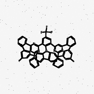 Cc1cc(C)cc(-c2ccc3c4ccc(-c5cc(C)cc(C)c5)cc4n(-c4c(-c5cc(-c6ccccc6)nc(-c6ccccc6)n5)cc(C(F)(F)F)cc4-c4nc(-c5ccccc5)cc(-c5ccccc5)n4)c3c2)c1